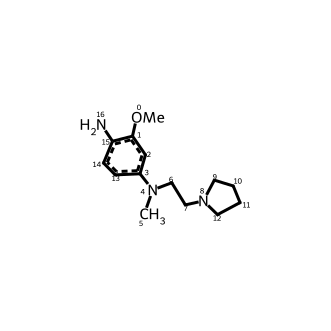 COc1cc(N(C)CCN2CCCC2)ccc1N